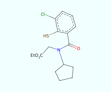 CCOC(=O)CN(C(=O)c1cccc(Cl)c1S)C1CCCC1